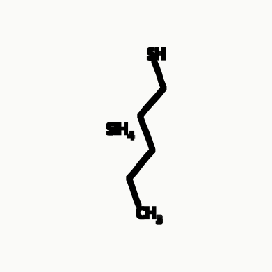 CCCCCS.[SiH4]